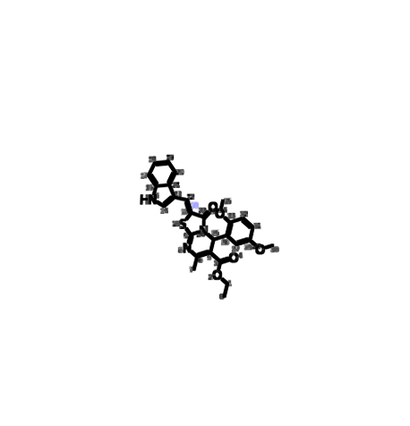 CCOC(=O)C1=C(C)N=c2s/c(=C\c3c[nH]c4ccccc34)c(=O)n2C1c1cc(OC)ccc1OC